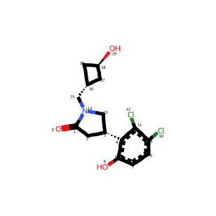 O=C1C[C@@H](c2c(O)ccc(Cl)c2Cl)CN1C[C@H]1C[C@H](O)C1